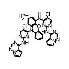 CPC.Clc1cnc(Nc2ncnn3cccc23)nc1Nc1ccccc1Oc1ccccc1Nc1nc(Nc2ncnn3cccc23)ncc1Cl